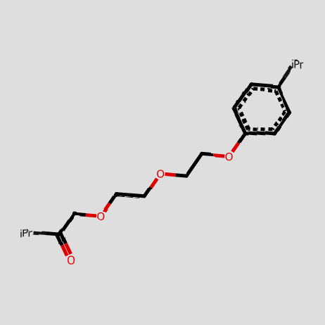 CC(C)C(=O)COCCOCCOc1ccc(C(C)C)cc1